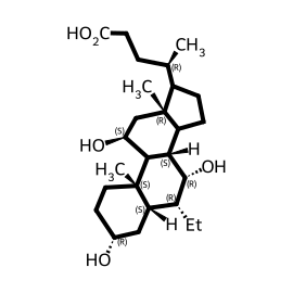 CC[C@H]1[C@@H](O)[C@H]2C3CCC([C@H](C)CCC(=O)O)[C@@]3(C)C[C@H](O)C2[C@@]2(C)CC[C@@H](O)C[C@@H]12